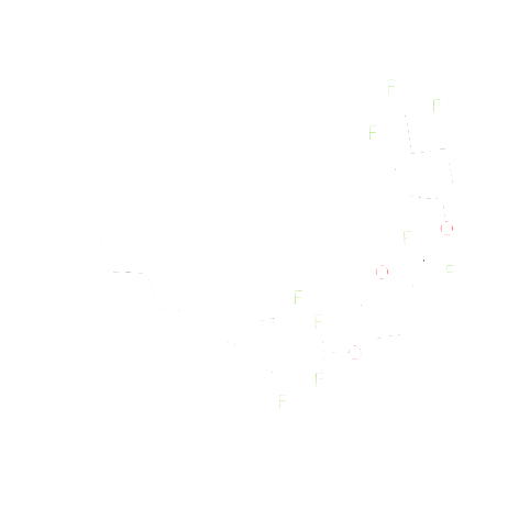 CCCCCCCc1cc(F)c(C(F)(F)OC2CCC(C(F)(F)OC3CCC(C(F)(F)F)CC3)OC2)c(F)c1